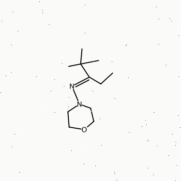 CC/C(=N\N1CCOCC1)C(C)(C)C